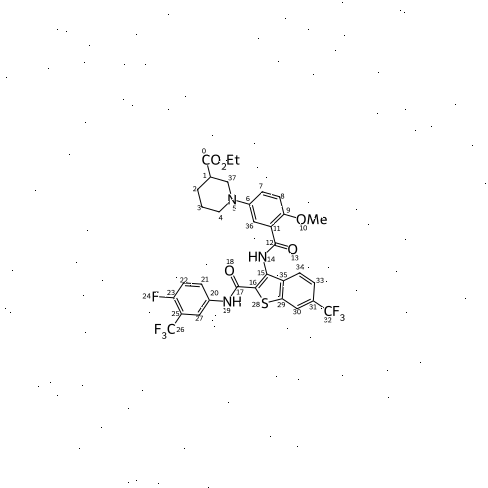 CCOC(=O)C1CCCN(c2ccc(OC)c(C(=O)Nc3c(C(=O)Nc4ccc(F)c(C(F)(F)F)c4)sc4cc(C(F)(F)F)ccc34)c2)C1